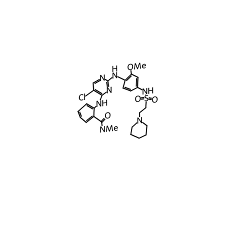 CNC(=O)c1ccccc1Nc1nc(Nc2ccc(NS(=O)(=O)CCN3CCCCC3)cc2OC)ncc1Cl